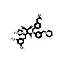 Cc1cc(C)cc(CC(C(C(=O)N(Cc2cccc(CC(=O)O)c2)c2cccc(CN3CCCCC3)c2)=C(C#N)C#N)N2CCNC2)c1